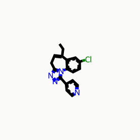 CCC1=CCc2nnc(-c3ccncc3)n2-c2ccc(Cl)cc21